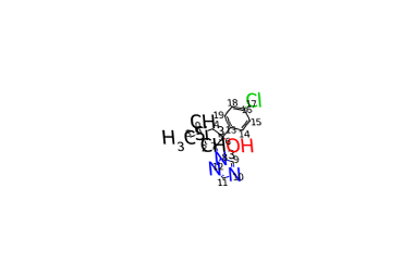 C[Si](C)(C)CC(O)(Cn1cncn1)c1ccc(Cl)cc1